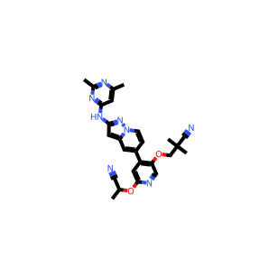 Cc1cc(Nc2cc3cc(-c4cc(OC(C)C#N)ncc4OCC(C)(C)C#N)ccn3n2)nc(C)n1